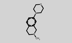 CN1CCc2ccc(N3CCOCC3)cc2C1